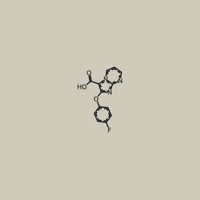 O=C(O)c1c(Oc2ccc(F)cc2)nc2ncccn12